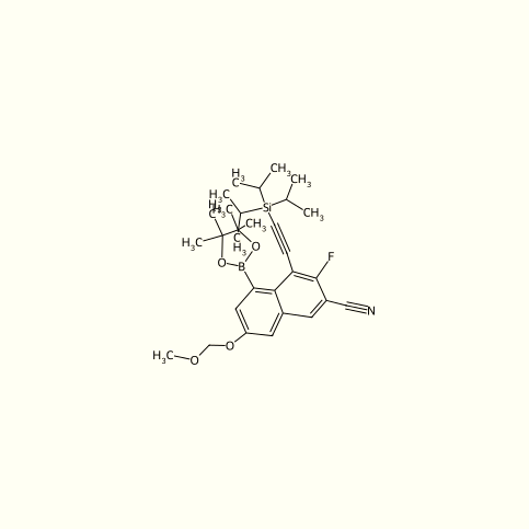 COCOc1cc(B2OC(C)(C)C(C)(C)O2)c2c(C#C[Si](C(C)C)(C(C)C)C(C)C)c(F)c(C#N)cc2c1